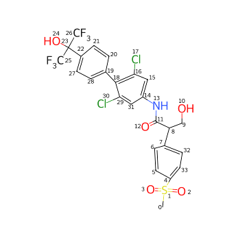 CS(=O)(=O)c1ccc(C(CO)C(=O)Nc2cc(Cl)c(-c3ccc(C(O)(C(F)(F)F)C(F)(F)F)cc3)c(Cl)c2)cc1